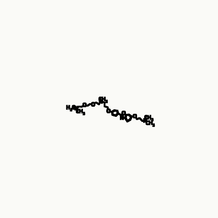 CN(C)CCCOc1ccc2nc(-c3ccc(OCCCN(C)CCOCCOCCN(C)C)cc3)oc2c1